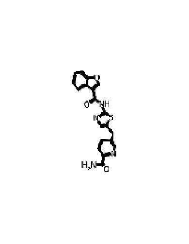 NC(=O)c1ccc(Cc2cnc(NC(=O)c3coc4ccccc34)s2)cn1